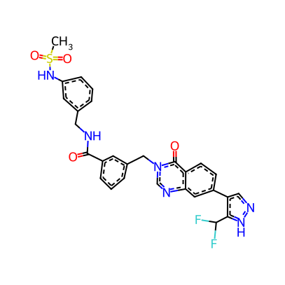 CS(=O)(=O)Nc1cccc(CNC(=O)c2cccc(Cn3cnc4cc(-c5cn[nH]c5C(F)F)ccc4c3=O)c2)c1